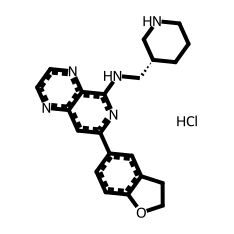 Cl.c1cnc2c(NC[C@H]3CCCNC3)nc(-c3ccc4c(c3)CCO4)cc2n1